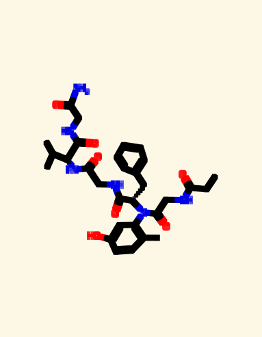 CCC(=O)NCC(=O)N(c1cc(O)ccc1C)[C@@H](Cc1ccccc1)C(=O)NCC(=O)N[C@H](C(=O)NCC(N)=O)C(C)C